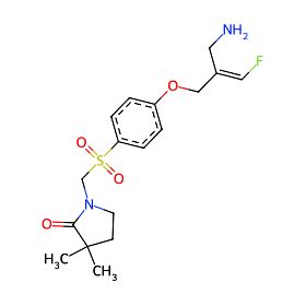 CC1(C)CCN(CS(=O)(=O)c2ccc(OC/C(=C/F)CN)cc2)C1=O